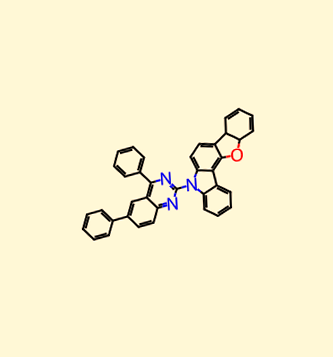 C1=CC2Oc3c(ccc4c3c3ccccc3n4-c3nc(-c4ccccc4)c4cc(-c5ccccc5)ccc4n3)C2C=C1